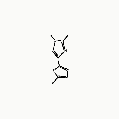 Cc1ccc(-c2cn(C)c(I)n2)s1